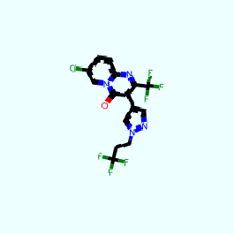 O=c1c(-c2cnn(CCC(F)(F)F)c2)c(C(F)(F)F)nc2ccc(Cl)cn12